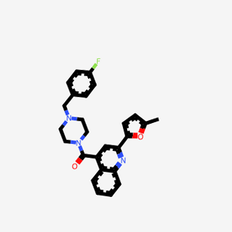 Cc1ccc(-c2cc(C(=O)N3CCN(Cc4ccc(F)cc4)CC3)c3ccccc3n2)o1